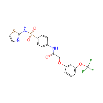 O=C(COc1cccc(OC(F)(F)F)c1)Nc1ccc(S(=O)(=O)Nc2nccs2)cc1